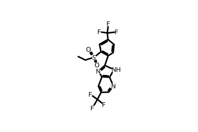 CCS(=O)(=O)c1cc(C(F)(F)F)ccc1-c1nc2cc(C(F)(F)F)cnc2[nH]1